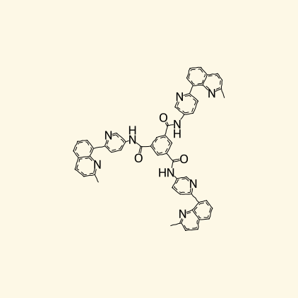 Cc1ccc2cccc(-c3ccc(NC(=O)c4cc(C(=O)Nc5ccc(-c6cccc7ccc(C)nc67)nc5)cc(C(=O)Nc5ccc(-c6cccc7ccc(C)nc67)nc5)c4)cn3)c2n1